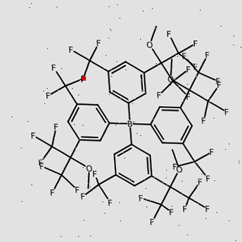 COC(c1cc([B-](c2cc(C(F)(F)F)cc(C(OC)(C(F)(F)F)C(F)(F)F)c2)(c2cc(C(F)(F)F)cc(C(OC)(C(F)(F)F)C(F)(F)F)c2)c2cc(C(F)(F)F)cc(C(OC)(C(F)(F)F)C(F)(F)F)c2)cc(C(F)(F)F)c1)(C(F)(F)F)C(F)(F)F